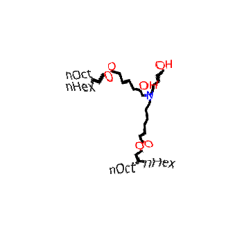 CCCCCCCCC(CCCCCC)CCOC(=O)CCCCCCN(CCCCCO)CC(O)CCCCC(=O)OCCC(CCCCCC)CCCCCCCC